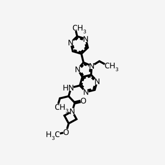 CCC(Nc1ncnc2c1nc(-c1cnc(C)nc1)n2CC)C(=O)N1CC(OC)C1